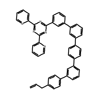 C=CCc1ccc(-c2cccc(-c3ccc(-c4cccc(-c5cccc(-c6nc(-c7ccccn7)nc(-c7ccccn7)n6)c5)c4)cc3)c2)cc1